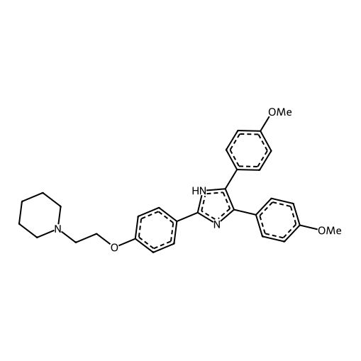 COc1ccc(-c2nc(-c3ccc(OCCN4CCCCC4)cc3)[nH]c2-c2ccc(OC)cc2)cc1